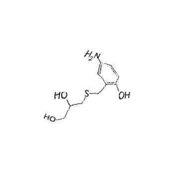 Nc1ccc(O)c(CSCC(O)CO)c1